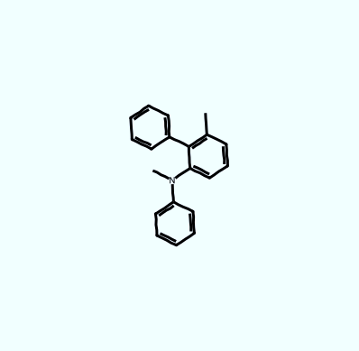 Cc1cccc(N(C)c2ccccc2)c1-c1ccccc1